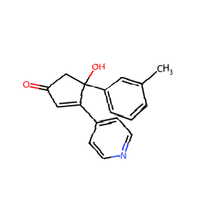 Cc1cccc(C2(O)CC(=O)C=C2c2ccncc2)c1